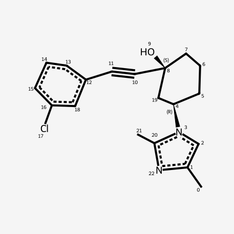 Cc1cn([C@@H]2CCC[C@@](O)(C#Cc3cccc(Cl)c3)C2)c(C)n1